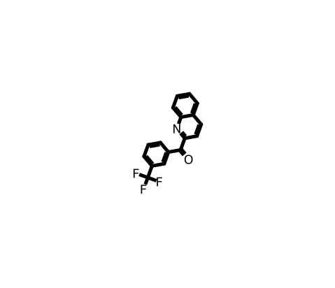 O=C(c1cccc(C(F)(F)F)c1)c1ccc2ccccc2n1